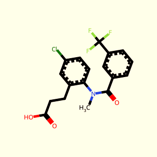 CN(C(=O)c1cccc(C(F)(F)F)c1)c1ccc(Cl)cc1CCC(=O)O